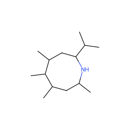 CC1CC(C)C(C)C(C)CC(C(C)C)N1